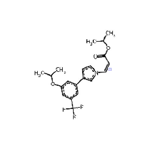 CC(C)OC(=O)/C=C\n1ccc(-c2cc(OC(C)C)cc(C(F)(F)F)c2)c1